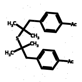 CC(=O)c1ccc(CC(C)(C)SC(C)(C)Cc2ccc(C(C)=O)cc2)cc1